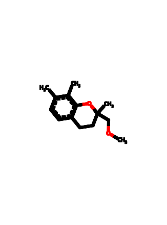 COCC1(C)CCc2ccc(C)c(C)c2O1